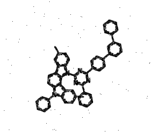 Cc1ccc2c(c1)c1c(ccc3c4cc(C)ccc4n(-c4nc(-c5ccccc5)nc(-c5ccc(-c6cccc(-c7ccccc7)c6)cc5)n4)c31)n2-c1ccccc1